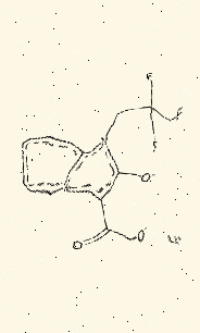 O=C([O-])c1c([O-])n(CC(F)(F)F)c2cccc[n+]12.[Li+]